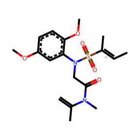 C=C(C)N(C)C(=O)CN(c1cc(OC)ccc1OC)S(=O)(=O)/C(C)=C/C